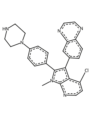 Cn1c(-c2ccc(N3CCNCC3)cc2)c(-c2ccc3nccnc3c2)c2c(Cl)ccnc21